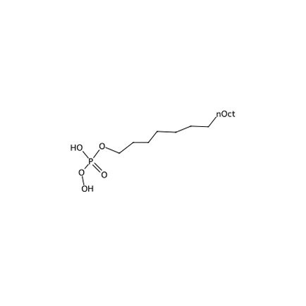 CCCCCCCCCCCCCCCOP(=O)(O)OO